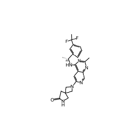 Cc1nc(N[C@H](C)c2cccc(C(C)(F)F)c2)c2cc(N3CC4(CNC(=O)C4)C3)ncc2n1